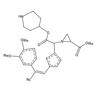 COC(=O)C1CN1C(C(=O)OC1CCNCC1)c1ccc(C=C(C#N)c2ccc(OC)c(OC)c2)s1